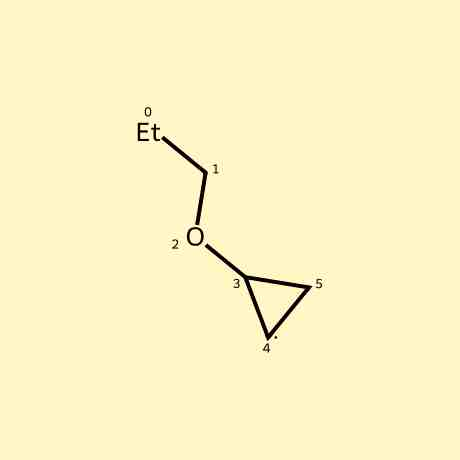 CCCOC1[CH]C1